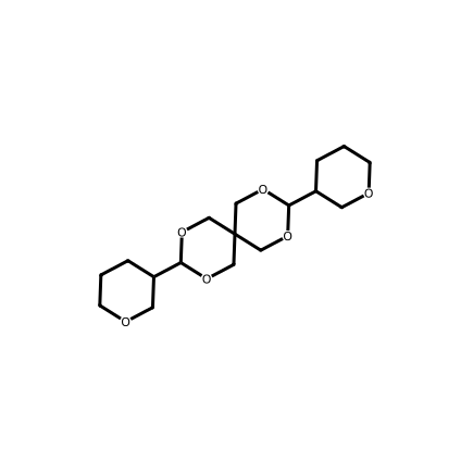 C1COCC(C2OCC3(CO2)COC(C2CCCOC2)OC3)C1